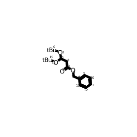 CC(C)(C)OC(CC(=O)OCc1ccccc1)OC(C)(C)C